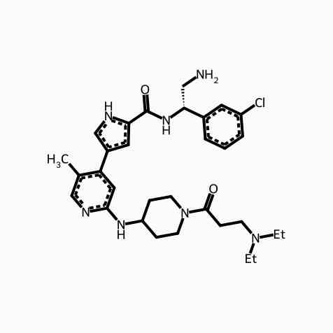 CCN(CC)CCC(=O)N1CCC(Nc2cc(-c3c[nH]c(C(=O)N[C@H](CN)c4cccc(Cl)c4)c3)c(C)cn2)CC1